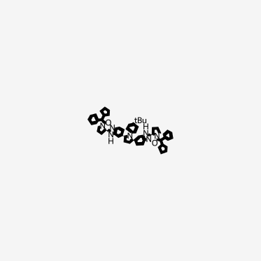 CC(C)(C)c1ccc(N2[C@@H](c3ccc4nc([C@@H]5CCCN5C(=O)C(c5ccccc5)C5CCCC5)[nH]c4c3)CC[C@@H]2c2ccc3nc([C@@H]4CCCN4C(=O)C(c4ccccc4)C4CCCC4)[nH]c3c2)cc1